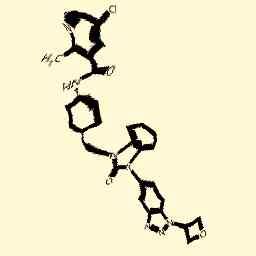 Cc1ncc(Cl)cc1C(=O)N[C@H]1CC[C@H](Cn2c(=O)n(-c3ccc4c(c3)nnn4C3COC3)c3ccccc32)CC1